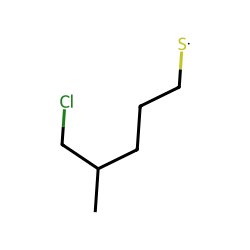 CC(CCl)CCC[S]